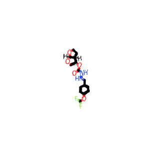 O=C(NNCc1ccc(OC(F)F)cc1)O[C@H]1CO[C@H]2OCC[C@H]21